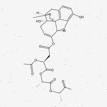 CC(=O)O[C@@H](CC(=O)OC1=CC[C@@]2(O)[C@H]3Cc4ccc(O)c5c4[C@@]2(CCN3C)[C@H]1O5)C(=O)O[C@@H](C)C(=O)O[C@@H](C)C(C)=O